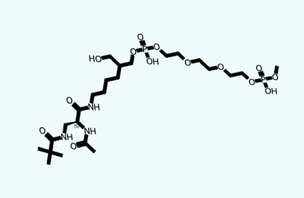 COP(=O)(O)OCCOCCOCCOP(=O)(O)OCC(CO)CCCCNC(=O)[C@H](CNC(=O)C(C)(C)C)NC(C)=O